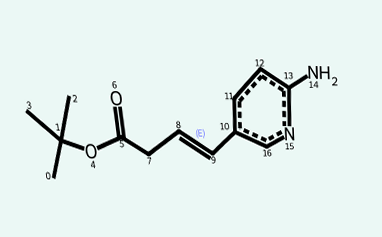 CC(C)(C)OC(=O)C/C=C/c1ccc(N)nc1